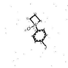 [O-][N+]1(c2ccc(I)cc2)CCC1